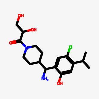 CC(C)c1cc(O)c(C(N)C2CCN(C(=O)C(O)CO)CC2)cc1Cl